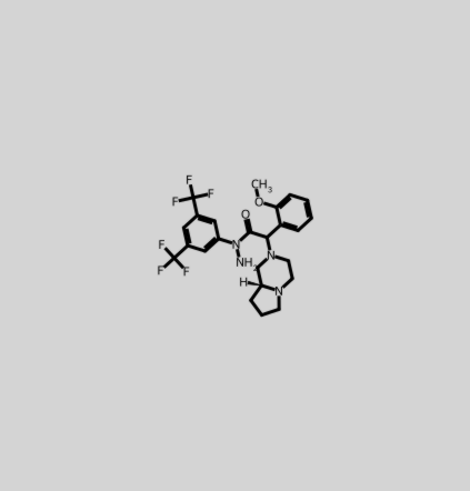 COc1ccccc1C(C(=O)N(N)c1cc(C(F)(F)F)cc(C(F)(F)F)c1)N1CCN2CCC[C@@H]2C1